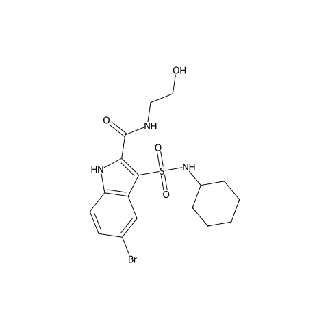 O=C(NCCO)c1[nH]c2ccc(Br)cc2c1S(=O)(=O)NC1CCCCC1